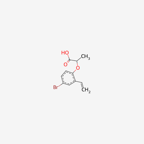 C=Cc1cc(Br)ccc1OC(C)C(=O)O